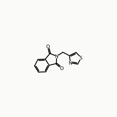 O=C1c2ccccc2C(=O)N1Cc1cscn1